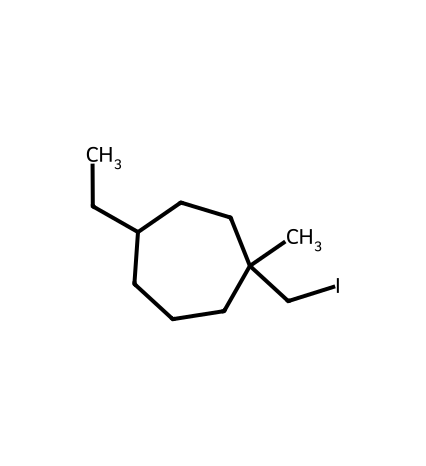 CCC1CCCC(C)(CI)CC1